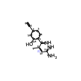 C#Cc1ccc(C(=N)/C(C)=C\C(=N)N)c(O)c1